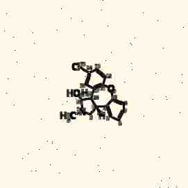 CN1C[C@H]2c3ccccc3Oc3ccc(Cl)cc3[C@@H]2C1O